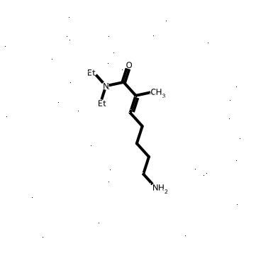 CCN(CC)C(=O)C(C)=CCCCCN